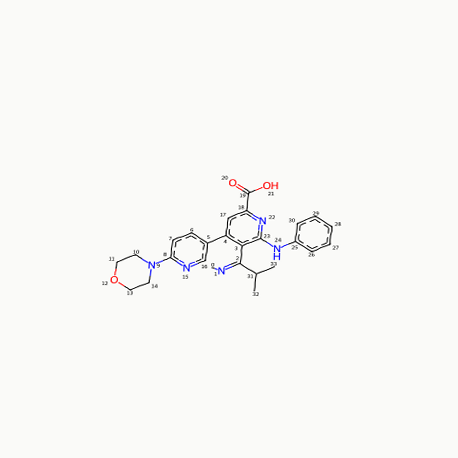 C/N=C(\c1c(-c2ccc(N3CCOCC3)nc2)cc(C(=O)O)nc1Nc1ccccc1)C(C)C